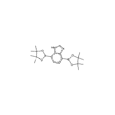 CC1(C)OB(c2ccc(B3OC(C)(C)C(C)(C)O3)c3[nH]cnc23)OC1(C)C